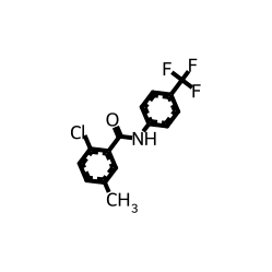 Cc1ccc(Cl)c(C(=O)Nc2ccc(C(F)(F)F)cc2)c1